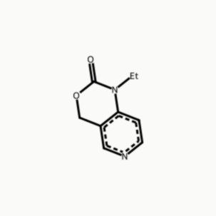 CCN1C(=O)OCc2cnccc21